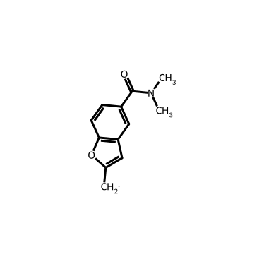 [CH2]c1cc2cc(C(=O)N(C)C)ccc2o1